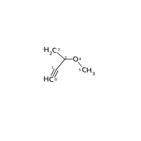 C#CC([CH2])OC